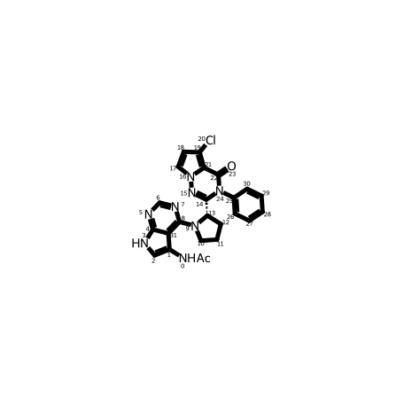 CC(=O)Nc1c[nH]c2ncnc(N3CCC[C@H]3c3nn4ccc(Cl)c4c(=O)n3-c3ccccc3)c12